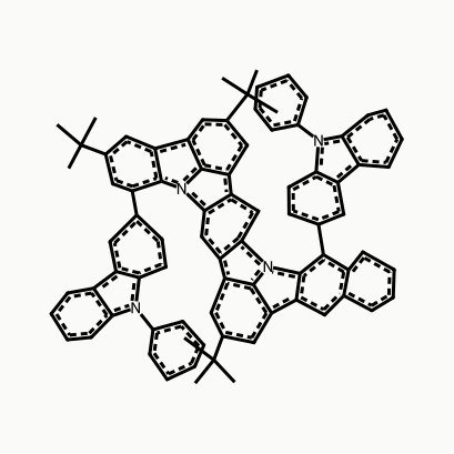 CC(C)(C)c1cc(-c2ccc3c(c2)c2ccccc2n3-c2ccccc2)c2c(c1)c1cc(C(C)(C)C)cc3c4cc5c(cc4n2c31)c1cc(C(C)(C)C)cc2c3cc4ccccc4c(-c4ccc6c(c4)c4ccccc4n6-c4ccccc4)c3n5c12